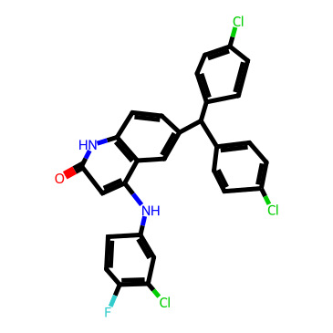 O=c1cc(Nc2ccc(F)c(Cl)c2)c2cc(C(c3ccc(Cl)cc3)c3ccc(Cl)cc3)ccc2[nH]1